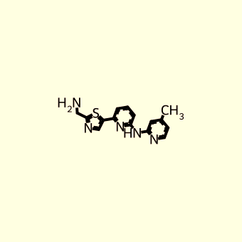 Cc1ccnc(Nc2cccc(-c3cnc(CN)s3)n2)c1